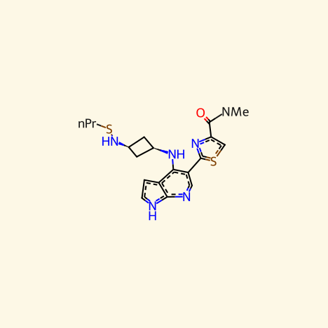 CCCSN[C@H]1C[C@@H](Nc2c(-c3nc(C(=O)NC)cs3)cnc3[nH]ccc23)C1